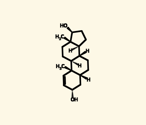 C[C@]12C=C[C@@H](O)C[C@H]1CC[C@@H]1[C@@H]2CC[C@]2(C)[C@@H](O)CC[C@@H]12